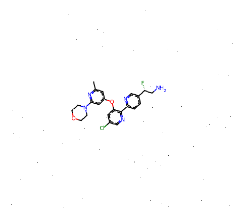 Cc1cc(Oc2cc(Cl)cnc2-c2ccc([C@H](F)CN)cn2)cc(N2CCOCC2)n1